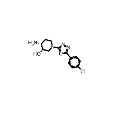 N[C@@H]1CCN(c2nnc(-c3ccc(Cl)cc3)o2)C[C@H]1O